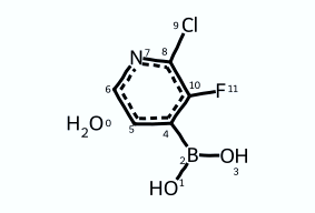 O.OB(O)c1ccnc(Cl)c1F